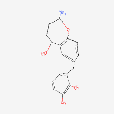 NC1CCC(O)c2cc(Cc3cccc(O)c3O)ccc2O1